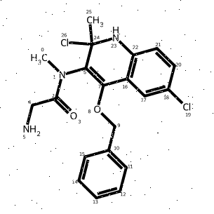 CN(C(=O)CN)C1=C(OCc2ccccc2)c2cc(Cl)ccc2NC1(C)Cl